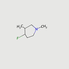 CC1CN(C)CCC1F